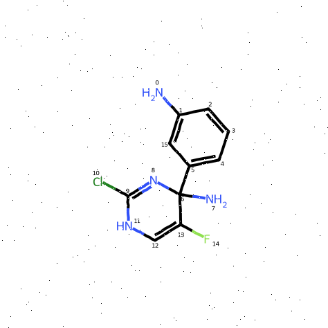 Nc1cccc(C2(N)N=C(Cl)NC=C2F)c1